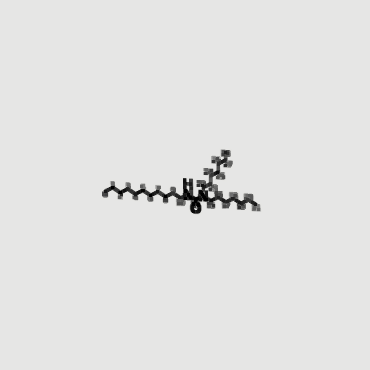 CCCCCCCCCCCNC(=O)N(CCCCCCC)CCCCCCC